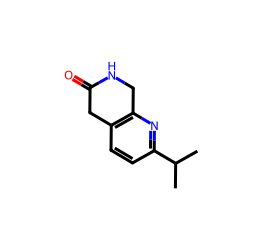 CC(C)c1ccc2c(n1)CNC(=O)C2